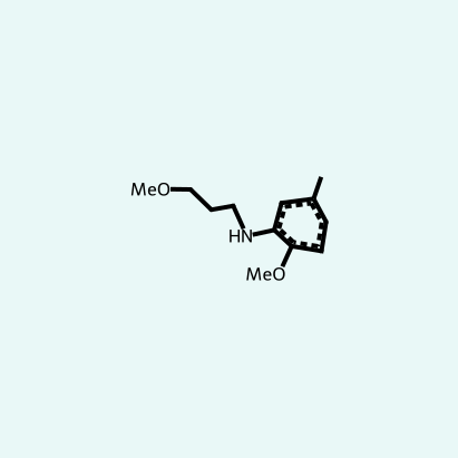 COCCCNc1cc(C)ccc1OC